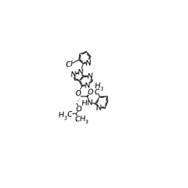 Cc1cccnc1NC(=O)[C@H](COC(C)C)Oc1ncnc2c1cnn2-c1ncccc1Cl